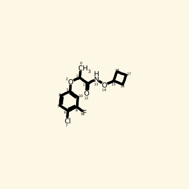 CC(Oc1ccc(Cl)c(F)c1)C(=O)NOC1CCC1